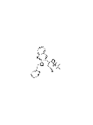 C#CCC(O[Si](C)(C)C(C)(C)C)c1cc2ccccc2nc1OCc1ccccc1